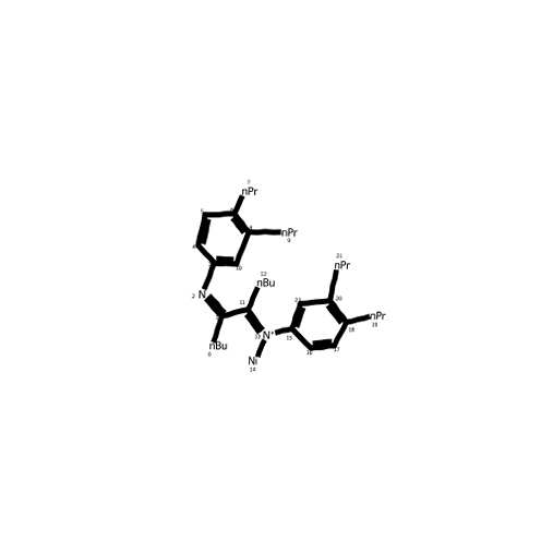 CCCCC(=Nc1ccc(CCC)c(CCC)c1)C(CCCC)=[N+]([Ni])c1ccc(CCC)c(CCC)c1